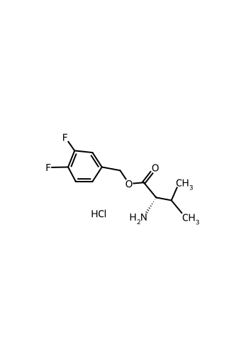 CC(C)[C@H](N)C(=O)OCc1ccc(F)c(F)c1.Cl